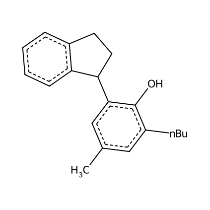 CCCCc1cc(C)cc(C2CCc3ccccc32)c1O